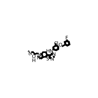 CN(C)C[C@@H](O)Cn1ncc2c1CCc1c-2sc2ncnc(Nc3ccc(OCc4cccc(F)c4)c(Cl)c3)c12